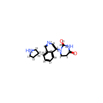 O=C1CCN(c2cncc3c([C@@H]4CCNC4)cccc23)C(=O)N1